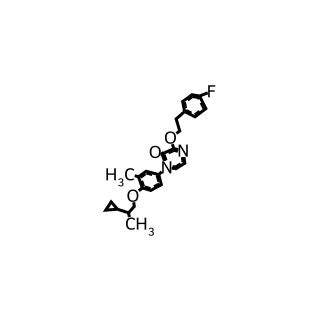 Cc1cc(-n2ccnc(OCCc3ccc(F)cc3)c2=O)ccc1OCC(C)C1CC1